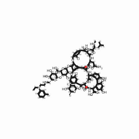 CCN(CCNC[C@H]1O[C@@H](O[C@H]2[C@H](O)[C@@H](O)[C@H](Oc3c4cc5cc3Oc3ccc(cc3Cl)[C@@H](O[C@H]3C[C@](C)(N)[C@@H](O)[C@H](C)O3)[C@@H]3NC(=O)[C@H](NC(=O)[C@@H]5NC(=O)C(CC(N)=O)NC(=O)C(NC(=O)[C@@H](CC(C)C)NC)[C@H](O)c5ccc(c(Cl)c5)O4)c4ccc(O)c(c4)-c4c(O)cc(O)cc4C(C(=O)O)NC3=O)O[C@@H]2CO)[C@H](O)[C@@H](O)[C@H]1O)c1cccc(C)c1